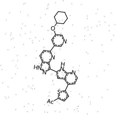 CC(=O)c1ccc(-c2ccnc3[nH]c(-c4n[nH]c5ccc(-c6cncc(OC7CCCCC7)c6)nc45)cc23)s1